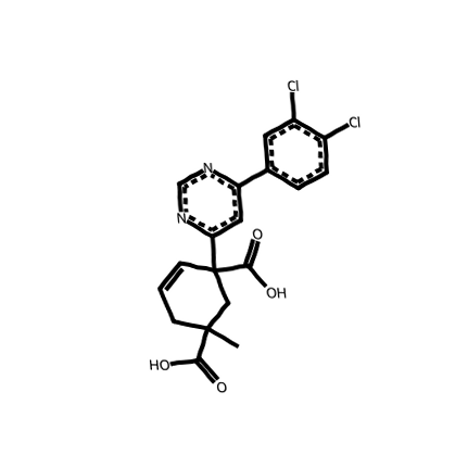 CC1(C(=O)O)CC=CC(C(=O)O)(c2cc(-c3ccc(Cl)c(Cl)c3)ncn2)C1